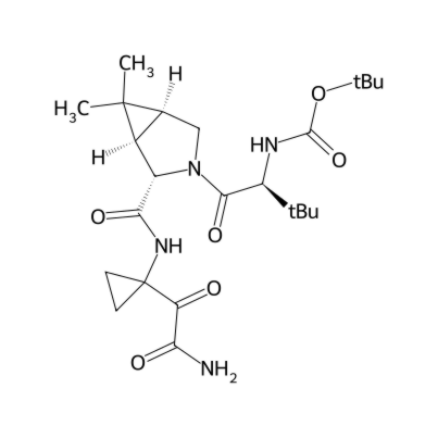 CC(C)(C)OC(=O)N[C@H](C(=O)N1C[C@H]2[C@@H]([C@H]1C(=O)NC1(C(=O)C(N)=O)CC1)C2(C)C)C(C)(C)C